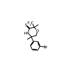 CC1(c2cccc(Br)c2)COC(C)(C(F)(F)F)C(=S)N1